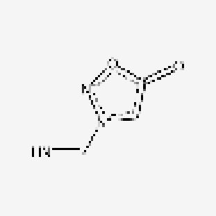 N=C[n+]1cc(=O)o[n-]1